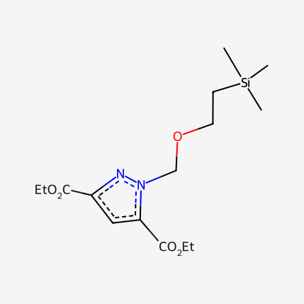 CCOC(=O)c1cc(C(=O)OCC)n(COCC[Si](C)(C)C)n1